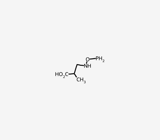 CC(CNOP)C(=O)O